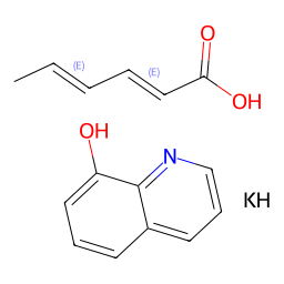 C/C=C/C=C/C(=O)O.Oc1cccc2cccnc12.[KH]